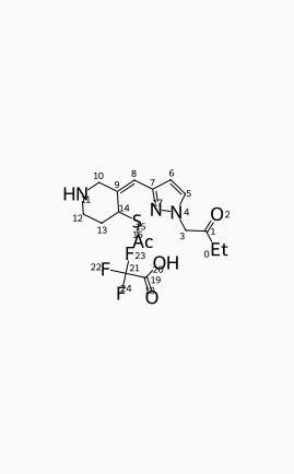 CCC(=O)Cn1ccc(C=C2CNCCC2SC(C)=O)n1.O=C(O)C(F)(F)F